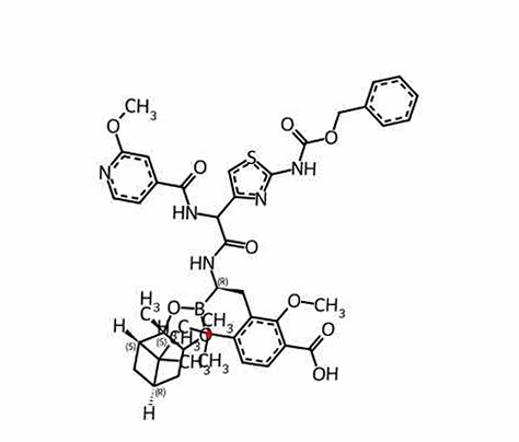 COc1cc(C(=O)NC(C(=O)N[C@@H](Cc2c(C(C)(C)C)ccc(C(=O)O)c2OC)B2OC3C[C@H]4C[C@@H](C4(C)C)[C@]3(C)O2)c2csc(NC(=O)OCc3ccccc3)n2)ccn1